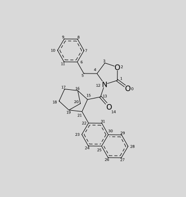 O=C1OCC(Cc2ccccc2)N1C(=O)C1C2CCC(C2)C1c1ccc2ccccc2c1